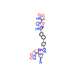 COC(=O)N[C@H](C(=O)N1CCC[C@H]1c1ncc(-c2ccc3cc(-c4ccc(-c5cnc([C@@H]6C[C@@H](C#N)CN6C(=O)[C@@H](NC(=O)OC)C(C)C)[nH]5)cc4)ccc3c2)[nH]1)C(C)C